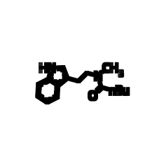 CCCCC(=O)N(C)CCc1c[nH]c2ccccc12